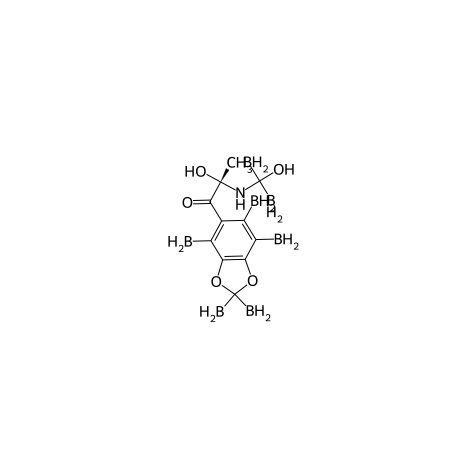 Bc1c(B)c(C(=O)[C@](C)(O)NC(B)(B)O)c(B)c2c1OC(B)(B)O2